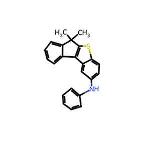 CC1(C)c2ccccc2-c2c1sc1ccc(Nc3ccccc3)cc21